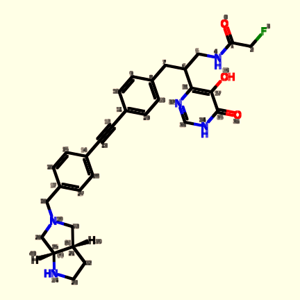 O=C(CF)NCC(Cc1ccc(C#Cc2ccc(CN3C[C@@H]4CCN[C@@H]4C3)cc2)cc1)c1nc[nH]c(=O)c1O